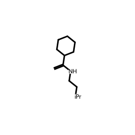 C=C(NCCC(C)C)C1CCCCC1